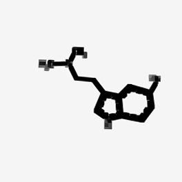 CN(C)CCc1c[nH]c2ccc([18F])cc12